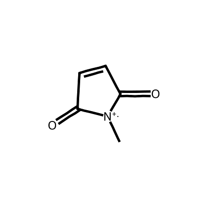 C[N+]1C(=O)C=CC1=O